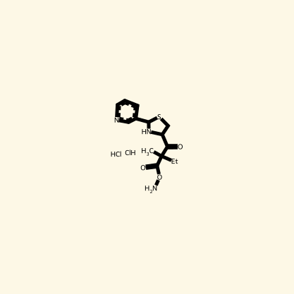 CCC(C)(C(=O)ON)C(=O)C1CSC(c2cccnc2)N1.Cl.Cl